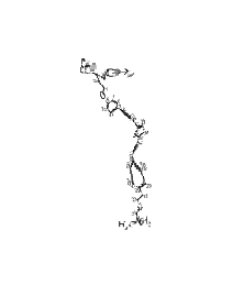 CCN(C)CCOc1ccc(C#Cc2ccc(C#Cc3ccc(CCOCN(C)C)cc3)s2)cc1